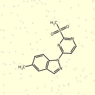 Cc1ccc2c(cnn2-c2ccnc(S(C)(=O)=O)n2)c1